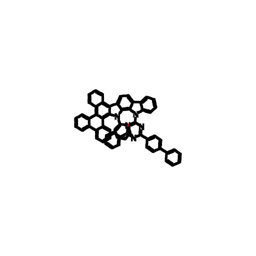 c1ccc(-c2ccc(-c3nc(-c4ccccc4)nc(-n4c5ccccc5c5ccc6c7c8ccccc8c8c9ccccc9c9ccccc9c8c7n(-c7ccccc7)c6c54)n3)cc2)cc1